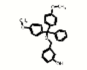 COc1ccc(C(OCc2cccc(O)c2)(c2ccccc2)c2ccc(OC)cc2)cc1